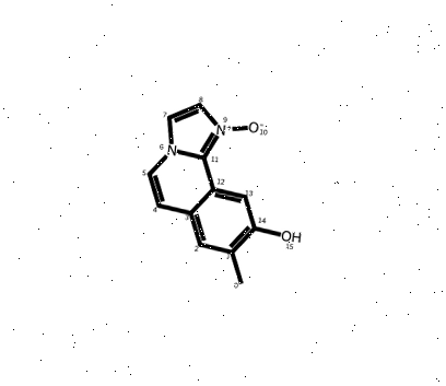 Cc1cc2ccn3cc[n+]([O-])c3c2cc1O